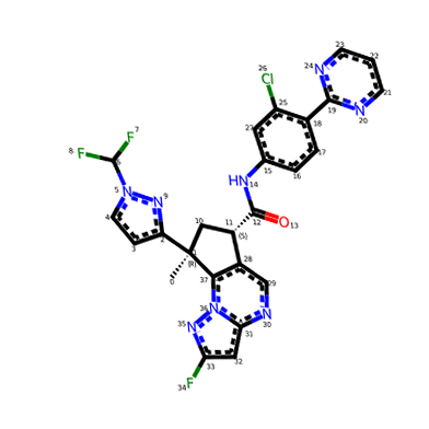 C[C@]1(c2ccn(C(F)F)n2)C[C@H](C(=O)Nc2ccc(-c3ncccn3)c(Cl)c2)c2cnc3cc(F)nn3c21